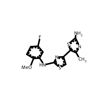 COc1ccc(F)cc1Nc1nc(-c2sc(N)nc2C)cs1